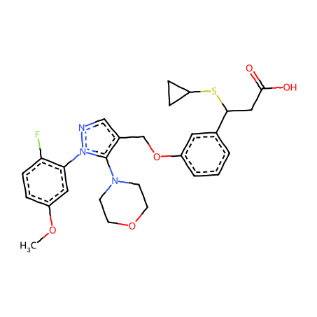 COc1ccc(F)c(-n2ncc(COc3cccc(C(CC(=O)O)SC4CC4)c3)c2N2CCOCC2)c1